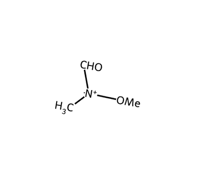 CO[N+](C)C=O